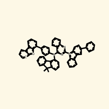 CC1(C)c2ccccc2-c2c(N(c3ccc(-c4cccc5c4oc4ccccc45)cc3)c3nc(-n4c5ccccc5c5cc(-c6ccccc6)ccc54)nc4ccccc34)cccc21